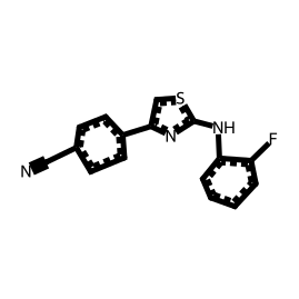 N#Cc1ccc(-c2csc(Nc3ccccc3F)n2)cc1